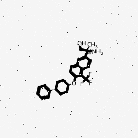 C[C@](N)(CO)c1ccc2c(C(F)(F)F)c(O[C@H]3CC[C@@H](c4ccccc4)CC3)ccc2c1